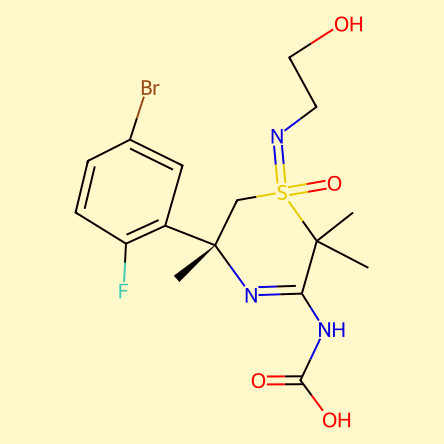 CC1(C)C(NC(=O)O)=N[C@](C)(c2cc(Br)ccc2F)CS1(=O)=NCCO